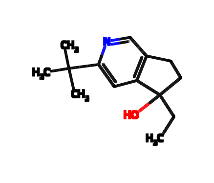 CCC1(O)CCc2cnc(C(C)(C)C)cc21